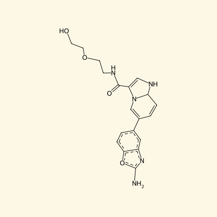 Nc1nc2cc(C3=CN4C(C(=O)NCCOCCO)=CNC4C=C3)ccc2o1